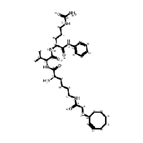 CC(C)[C@H](NC(=O)[C@H](N)CCCCNC(=O)COC1C#CCCCCC1)C(=O)N[C@@H](CCCNC(N)=O)C(=O)Nc1cc[c]cc1